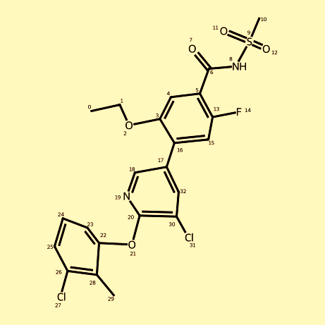 CCOc1cc(C(=O)NS(C)(=O)=O)c(F)cc1-c1cnc(Oc2cccc(Cl)c2C)c(Cl)c1